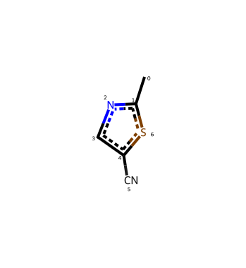 Cc1ncc(C#N)s1